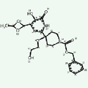 CC1OC(c2nc(C3(OCCO)CCN(C(=O)OCc4ccccc4)CC3)[nH]c(=O)c2O)O1